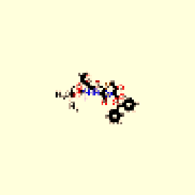 CC(C)(C)OC(=O)NC(C(=O)N[C@@H]1C(=O)N2C(C(=O)OC(c3ccccc3)c3ccccc3)C(=O)CS[C@@H]12)c1ccco1